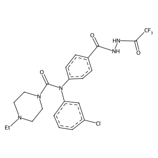 CCN1CCN(C(=O)N(c2ccc(C(=O)NNC(=O)C(F)(F)F)cc2)c2cccc(Cl)c2)CC1